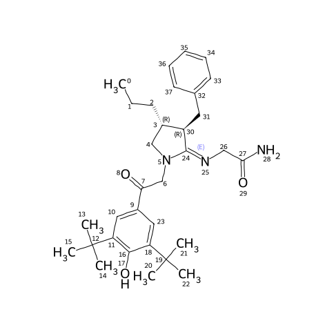 CCC[C@H]1CN(CC(=O)c2cc(C(C)(C)C)c(O)c(C(C)(C)C)c2)/C(=N/CC(N)=O)[C@@H]1Cc1ccccc1